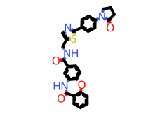 O=C(NCc1cnc(-c2ccc(N3CCCC3=O)cc2)s1)c1ccc2c(c1)NC(=O)c1ccccc1O2